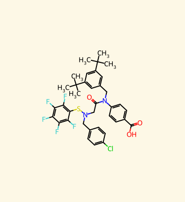 CC(C)(C)c1cc(CN(C(=O)CN(Cc2ccc(Cl)cc2)Sc2c(F)c(F)c(F)c(F)c2F)c2ccc(C(=O)O)cc2)cc(C(C)(C)C)c1